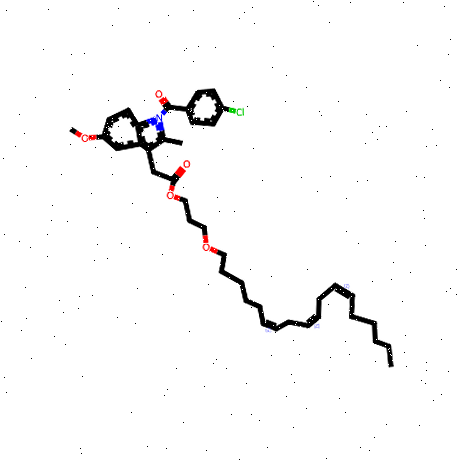 CCCCC/C=C\C/C=C\C/C=C\CCCCCOCCCOC(=O)Cc1c(C)n(C(=O)c2ccc(Cl)cc2)c2ccc(OC)cc12